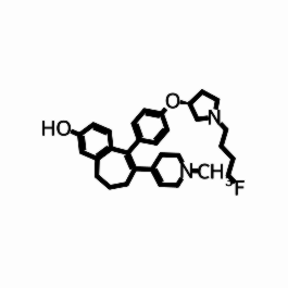 CN1CC=C(C2=C(c3ccc(O[C@H]4CCN(CCCCF)C4)cc3)c3ccc(O)cc3CCC2)CC1